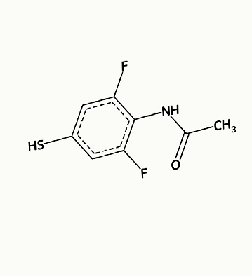 CC(=O)Nc1c(F)cc(S)cc1F